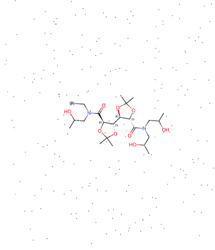 CC(C)CN(CC(C)O)C(=O)[C@@H]1OC(C)(C)O[C@H]1[C@H]1OC(C)(C)O[C@@H]1C(=O)N(CC(C)O)CC(C)O